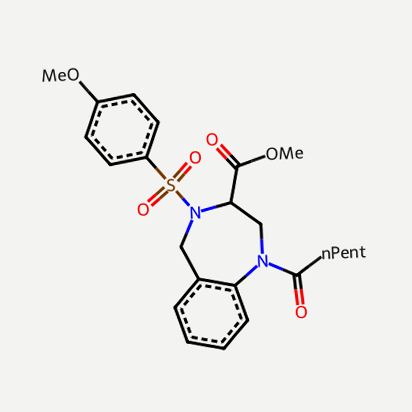 CCCCCC(=O)N1CC(C(=O)OC)N(S(=O)(=O)c2ccc(OC)cc2)Cc2ccccc21